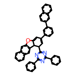 C1=C(c2cccc(-c3ccc4ccccc4c3)c2)C=C2Oc3cc4ccccc4cc3C2C1c1nc(-c2ccccc2)nc(-c2ccccc2)n1